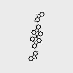 c1ccc([Si](c2ccccc2)(c2cccc3c2oc2ccc(-c4cc5c(cn4)oc4ccccc45)cc23)c2cccc3c2sc2ccc(-c4cc5c(cn4)sc4ccccc45)cc23)cc1